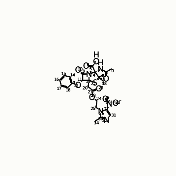 CC(=O)N[C@@]1(C(=O)O)N2C(=O)[C@@H](Oc3ccccc3)[C@@]2(CC(=O)OCCn2c([N+](=O)[O-])cnc2C)SC1(C)C